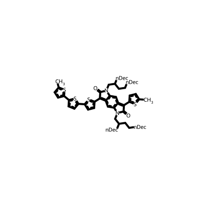 CCCCCCCCCCCCC(CCCCCCCCCC)CN1C(=O)C(c2ccc(C)s2)=c2cc3c(cc21)=C(c1ccc(-c2ccc(-c4ccc(C)s4)s2)s1)C(=O)N3CC(CCCCCCCCCC)CCCCCCCCCCCC